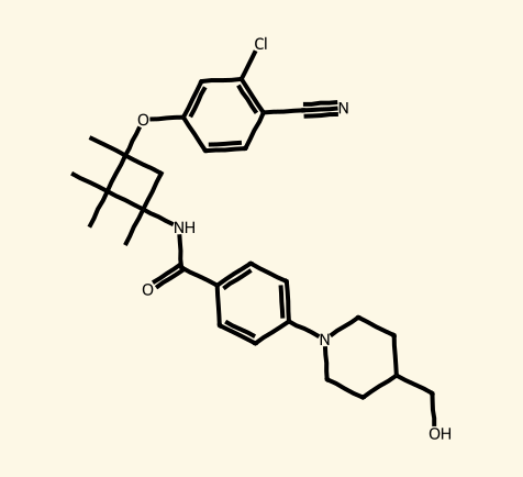 CC1(NC(=O)c2ccc(N3CCC(CO)CC3)cc2)CC(C)(Oc2ccc(C#N)c(Cl)c2)C1(C)C